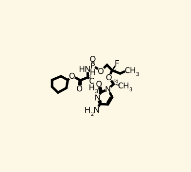 CC[C@@](F)(CO[PH](=O)N[C@@H](C)C(=O)OC1CCCCC1)O[C@H](C)n1ccc(N)nc1=O